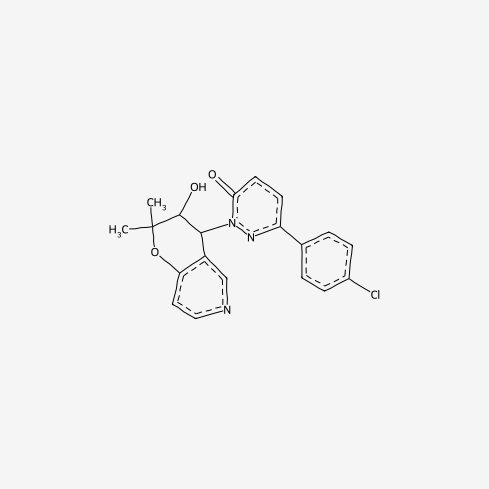 CC1(C)Oc2ccncc2C(n2nc(-c3ccc(Cl)cc3)ccc2=O)C1O